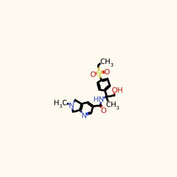 CCS(=O)(=O)c1ccc(C(C)(CO)NC(=O)c2cnc3c(c2)CN(C)C3)cc1